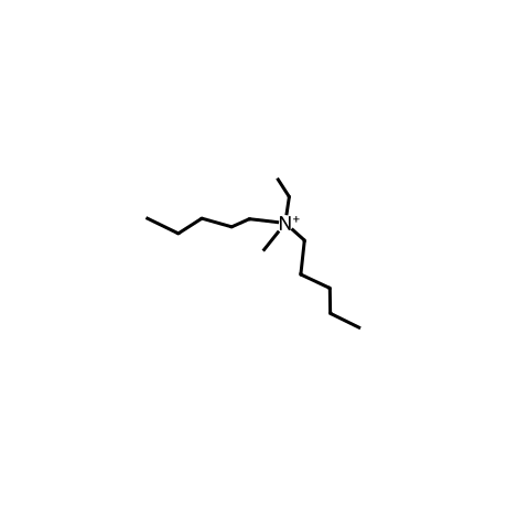 CCCCC[N+](C)(CC)CCCCC